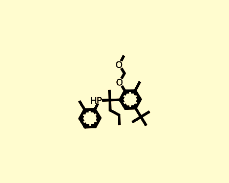 CCCC(C)(Pc1ccccc1C)c1cc(C(C)(C)C)cc(C)c1OCOC